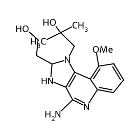 COc1cccc2nc(N)c3c(c12)N(CC(C)(C)O)C(CCO)N3